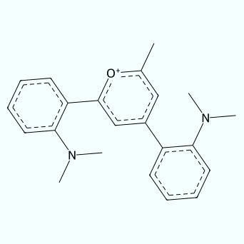 Cc1cc(-c2ccccc2N(C)C)cc(-c2ccccc2N(C)C)[o+]1